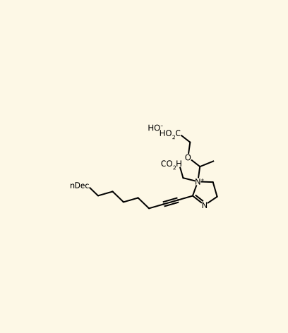 CCCCCCCCCCCCCCCC#CC1=NCC[N+]1(CC(=O)O)C(C)OCC(=O)O.[OH-]